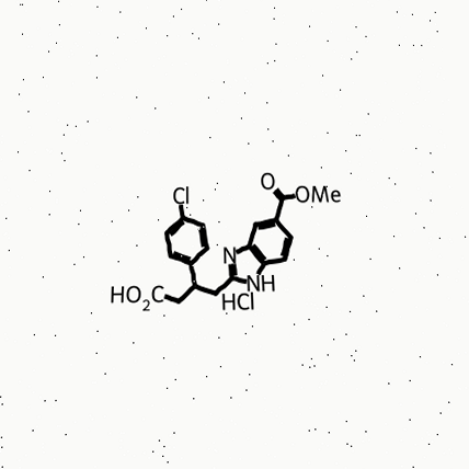 COC(=O)c1ccc2[nH]c(CC(CC(=O)O)c3ccc(Cl)cc3)nc2c1.Cl